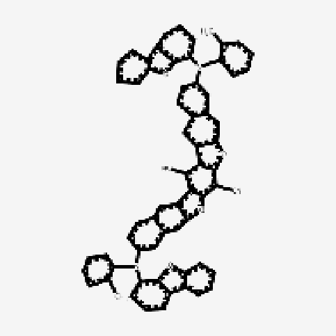 Cc1ccccc1N(c1ccc2cc3c(cc2c1)oc1c(C#N)c2oc4cc5cc(N(c6ccccc6C)c6cccc7c6oc6ccccc67)ccc5cc4c2c(C#N)c13)c1cccc2c1oc1ccccc12